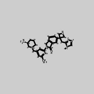 Cn1cnnc1CC1(c2ccc3c(c2)C(=O)N(c2cc(CN4CCC[C@H](C(F)(F)F)C4)cc(C(F)(F)F)n2)C3)COC1